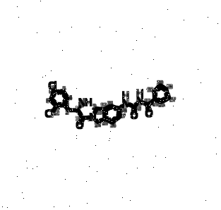 N[C@H](Cc1ccc(Cl)cc1Cl)C(=O)N1Cc2ccc(NC(=O)NC(=O)c3ccccc3)cc2C1